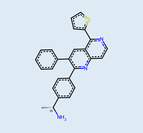 C[C@@H](N)c1ccc(-c2nc3ccnc(-c4cccs4)c3cc2-c2ccccc2)cc1